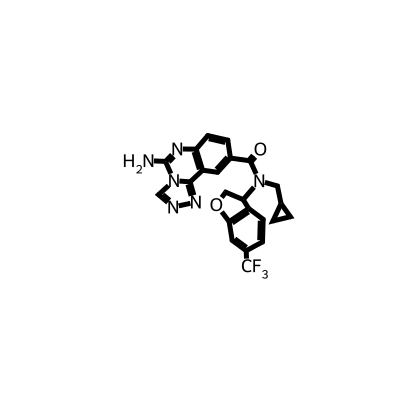 Nc1nc2ccc(C(=O)N(CC3CC3)C3COc4cc(C(F)(F)F)ccc43)cc2c2nncn12